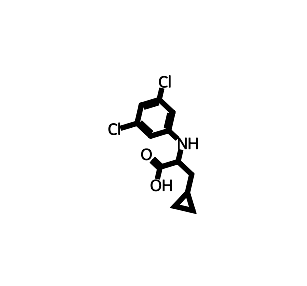 O=C(O)C(CC1CC1)Nc1cc(Cl)cc(Cl)c1